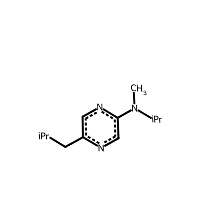 CC(C)Cc1cnc(N(C)C(C)C)cn1